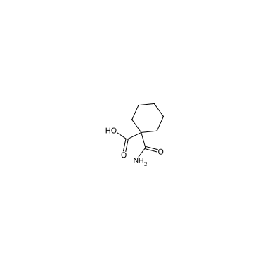 NC(=O)C1(C(=O)O)CCCCC1